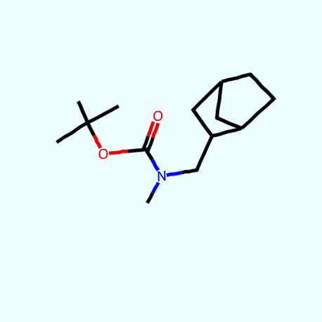 CN(CC1CC2CCC1C2)C(=O)OC(C)(C)C